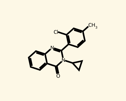 Cc1ccc(-c2nc3ccccc3c(=O)n2C2CC2)c(Cl)c1